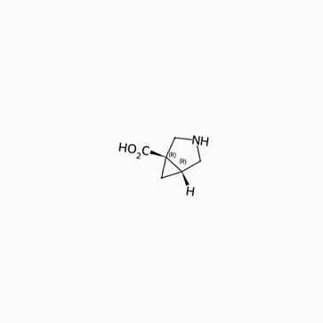 O=C(O)[C@@]12CNC[C@@H]1C2